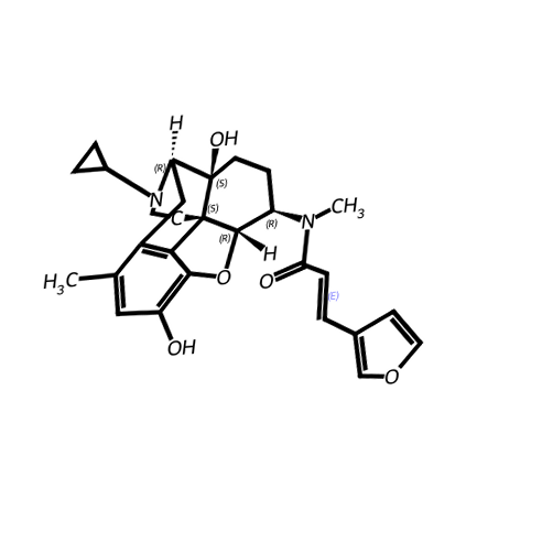 Cc1cc(O)c2c3c1C[C@H]1N(C4CC4)CC[C@@]34[C@@H](O2)[C@H](N(C)C(=O)/C=C/c2ccoc2)CC[C@@]14O